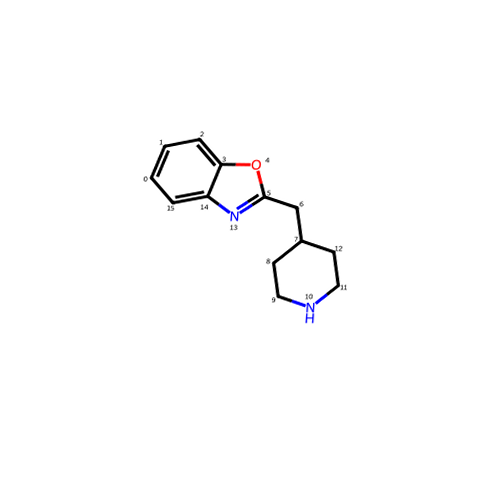 c1ccc2oc(CC3CCNCC3)nc2c1